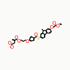 C=COC(=O)COc1ccc2c(c1)C(C)c1cc(SC(=O)c3ccc(OCCCOC(=O)C(=C)CC(=O)OC)cc3)ccc1-2